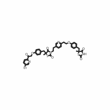 CCc1ccc(C(=O)COc2ccc(CC3(C)SC(=O)N(CCc4ccc(CCOc5ccc(CC6(C)SC(=O)NC6=O)cc5)nc4)C3=O)cc2)nc1